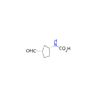 O=C[C@H]1CC[C@@H](NC(=O)O)C1